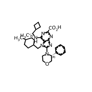 CC1CCC(Cn2c(N3CCOC[C@H]3c3ccccc3)nc3nc(C(=O)O)nc(N[C@H](C)C4CCC4)c32)CC1